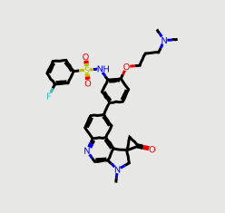 CN(C)CCCOc1ccc(-c2ccc3ncc4c(c3c2)C2(CC2=O)CN4C)cc1NS(=O)(=O)c1cccc(F)c1